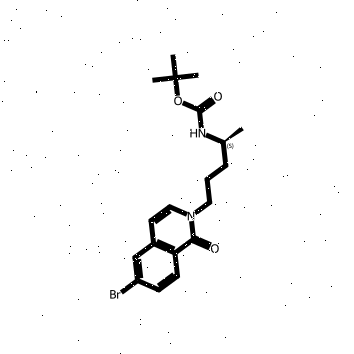 C[C@@H](CCCn1ccc2cc(Br)ccc2c1=O)NC(=O)OC(C)(C)C